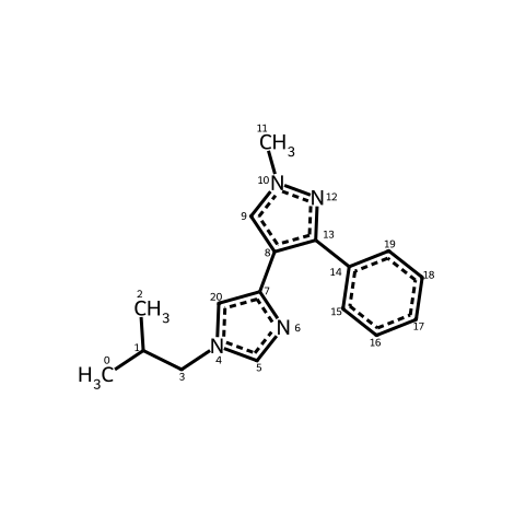 CC(C)Cn1cnc(-c2cn(C)nc2-c2ccccc2)c1